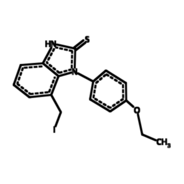 CCOc1ccc(-n2c(=S)[nH]c3cccc(CI)c32)cc1